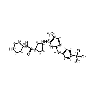 CCP(=O)(CC)c1ccc(Nc2ncc(C(F)(F)F)c(NC3CCC(C(=O)NC4CCNCC4)C3)n2)cc1